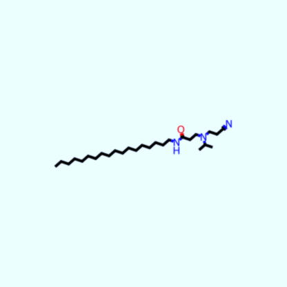 CCCCCCCCCCCCCCCCCCNC(=O)CCN(CCC#N)C(C)C